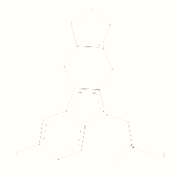 O=C(O)Cn1c2c(c3cc(Cl)ccc31)CC1CCCN1C2